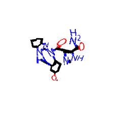 COc1ccc(N(C(=O)c2nc[nH]c2C(N)=O)c2nc3ccccc3[nH]2)c(C)c1